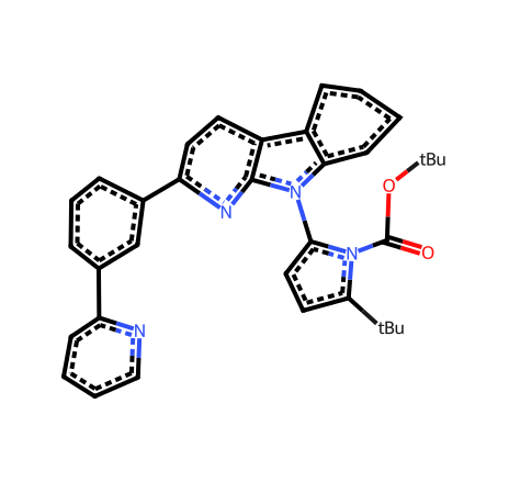 CC(C)(C)OC(=O)n1c(-n2c3ccccc3c3ccc(-c4cccc(-c5ccccn5)c4)nc32)ccc1C(C)(C)C